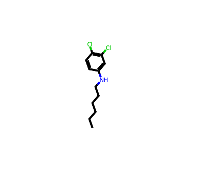 CCCCCCNc1ccc(Cl)c(Cl)c1